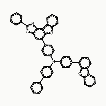 c1ccc(-c2ccc(N(c3ccc(-c4cc5oc(-c6ccccc6)nc5c5c4oc4ccccc45)cc3)c3ccc(-c4cccc5c4sc4ccccc45)cc3)cc2)cc1